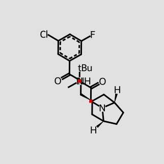 CN(C(=O)CN1[C@@H]2CC[C@H]1C[C@H](CNC(=O)c1cc(F)cc(Cl)c1)C2)C(C)(C)C